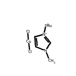 CCCC[n+]1ccn(C)c1.[Cl][Co][Cl]